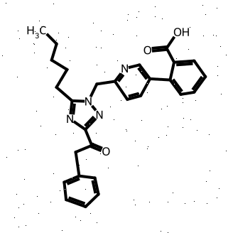 CCCCCc1nc(C(=O)Cc2ccccc2)nn1Cc1ccc(-c2ccccc2C(=O)O)cn1